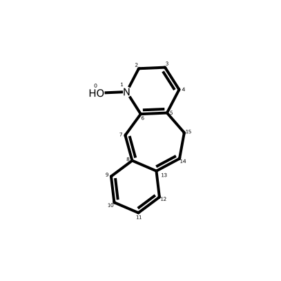 ON1CC=CC2=C1C=c1ccccc1=CC2